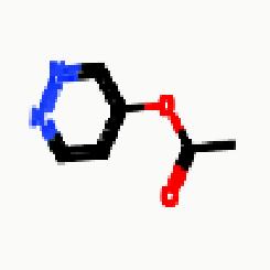 CC(=O)Oc1ccnnc1